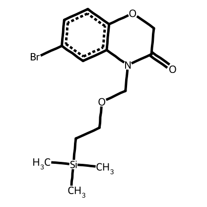 C[Si](C)(C)CCOCN1C(=O)COc2ccc(Br)cc21